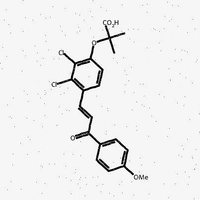 COc1ccc(C(=O)C=Cc2ccc(OC(C)(C)C(=O)O)c(Cl)c2Cl)cc1